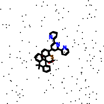 CC1(C)c2ccccc2C2(c3ccccc3Sc3c(-c4cc(-c5ccccn5)nc(-c5ccccn5)c4)cccc32)c2ccccc21